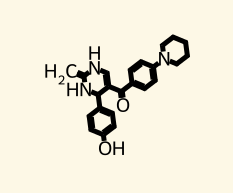 C=C1NC=C(C(=O)c2ccc(N3CCCCC3)cc2)C(c2ccc(O)cc2)N1